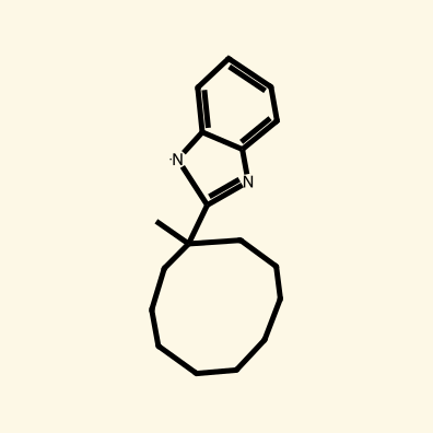 CC1(C2=Nc3ccccc3[N]2)CCCCCCCCC1